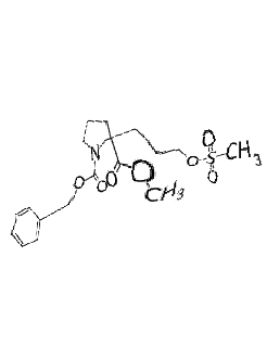 COC(=O)C1(CCCOS(C)(=O)=O)CCCN1C(=O)OCc1ccccc1